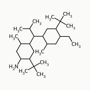 CCC1CC(C)C(C(C(C)C)C2CC(C(C)(C)C)C(N)CC2C)CC1C(C)(C)C